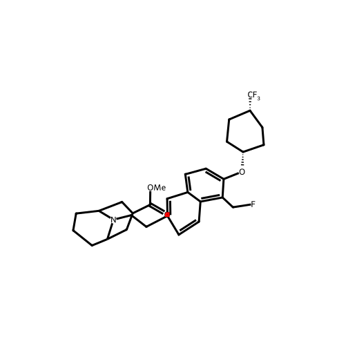 COC(=O)C1CC2CCCC(C1)N2CCc1ccc2c(CF)c(O[C@H]3CC[C@@H](C(F)(F)F)CC3)ccc2c1